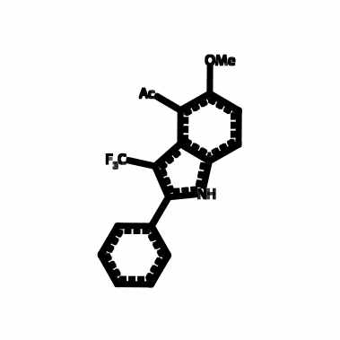 COc1ccc2[nH]c(-c3ccccc3)c(C(F)(F)F)c2c1C(C)=O